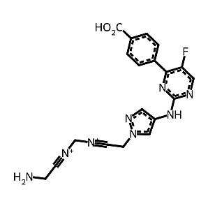 NCC#[N+]C[N+]#CCn1cc(Nc2ncc(F)c(-c3ccc(C(=O)O)cc3)n2)cn1